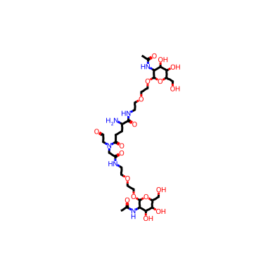 CC(=O)NC1C(OCCOCCNC(=O)CN(CC=O)C(=O)CCC(N)C(=O)NCCOCCOC2OC(CO)C(O)C(O)C2NC(C)=O)OC(CO)C(O)C1O